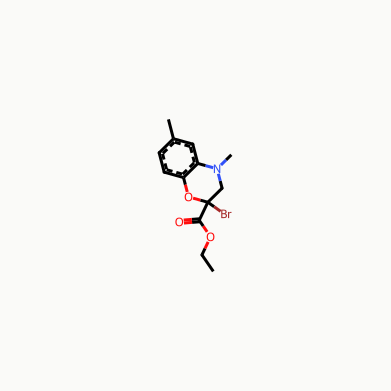 CCOC(=O)C1(Br)CN(C)c2cc(C)ccc2O1